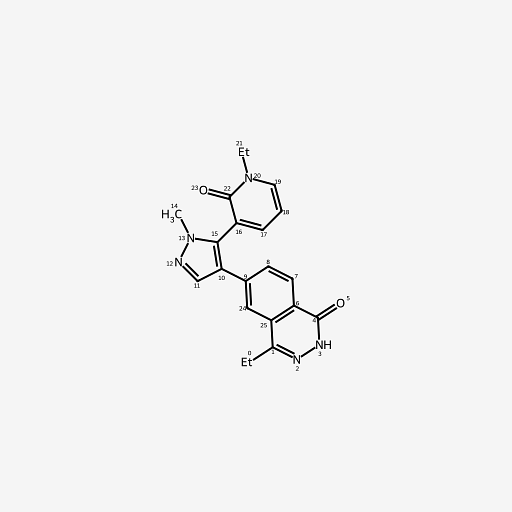 CCc1n[nH]c(=O)c2ccc(-c3cnn(C)c3-c3cccn(CC)c3=O)cc12